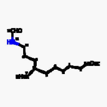 CCCCCCCCCCCCCCCC(CCCCCC)CCCNC=O